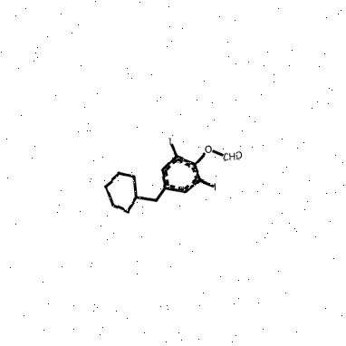 O=COc1c(I)cc(CC2CCCCC2)cc1I